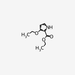 CCOC(=O)c1[nH]ccc1OCC